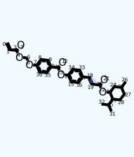 C=CC(=O)OCOc1ccc(C(=O)Oc2ccc(/C=C/C(=O)OC3CC(C)CCC3C(C)C)cc2)cc1